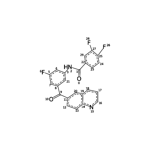 O=C(Nc1cc(F)cc(C(=O)c2ccc3ncccc3c2)c1)c1ccc(F)c(F)c1